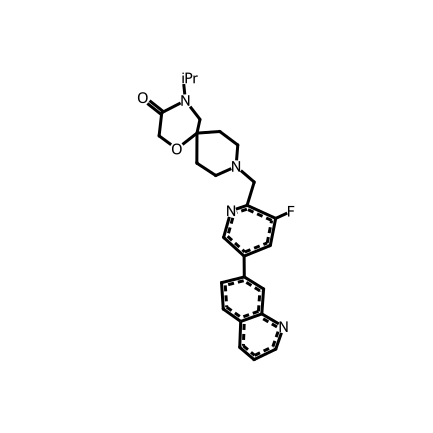 CC(C)N1CC2(CCN(Cc3ncc(-c4ccc5cccnc5c4)cc3F)CC2)OCC1=O